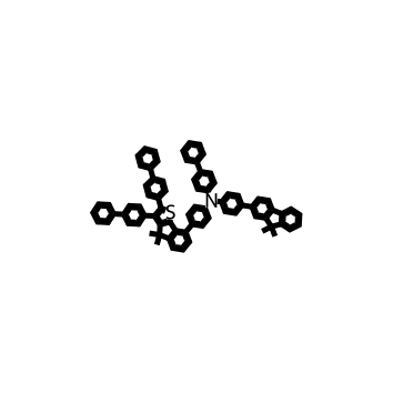 CC1(C)c2ccccc2-c2ccc(-c3ccc(N(c4ccc(-c5ccccc5)cc4)c4ccc(-c5cccc6c5-c5sc(-c7ccc(-c8ccccc8)cc7)c(-c7ccc(-c8ccccc8)cc7)c5C6(C)C)cc4)cc3)cc21